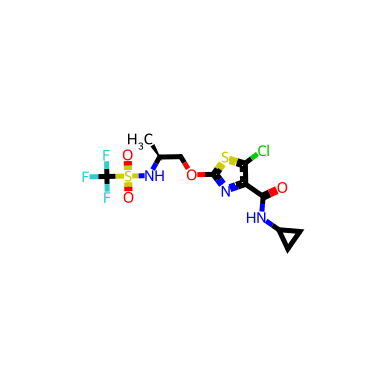 C[C@@H](COc1nc(C(=O)NC2CC2)c(Cl)s1)NS(=O)(=O)C(F)(F)F